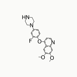 COc1cc2nccc(Oc3ccc(N4CCNCC4)cc3F)c2cc1OC